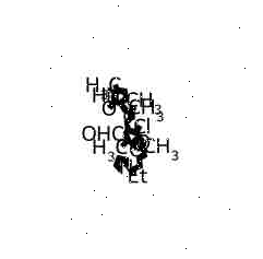 CCC(CCCC1(C)Oc2c(C)c(C=O)c(CCN(C)Cc3c(C)cc(C)[nH]c3=O)c(Cl)c2O1)N1CCCC1